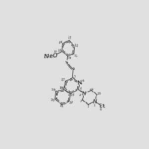 CCN1CCN(c2nc(/C=C/c3ccccc3OC)cc3ccccc23)CC1